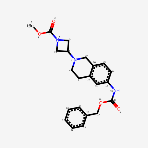 CC(C)(C)OC(=O)N1CC(N2CCc3cc(NC(=O)OCc4ccccc4)ccc3C2)C1